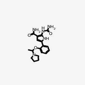 CC(Oc1ccccc1-c1cc(C(N)=O)c(NC(N)=O)[nH]1)N1CCCC1